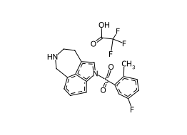 Cc1ccc(F)cc1S(=O)(=O)n1cc2c3c(cccc31)CNCC2.O=C(O)C(F)(F)F